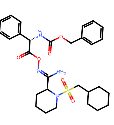 N/C(=N\OC(=O)[C@@H](NC(=O)OCc1ccccc1)c1ccccc1)[C@@H]1CCCCN1S(=O)(=O)CC1CCCCC1